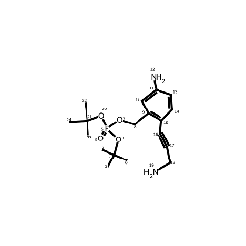 CC(C)(C)OP(=O)(OCc1cc(N)ccc1C#CCN)OC(C)(C)C